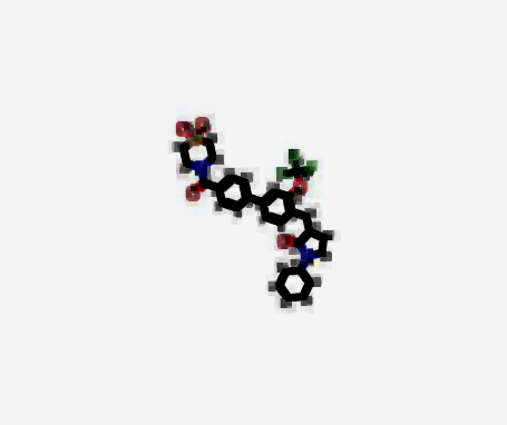 O=C(c1ccc(-c2ccc(CC3CCN(C4CCCCC4)C3=O)c(OC(F)(F)F)c2)cc1)N1CCS(=O)(=O)CC1